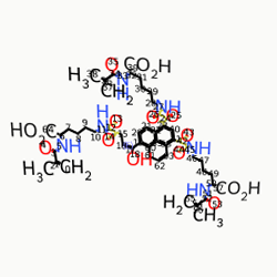 C=C(C)C(=O)NC(CCCCNS(=O)(=O)C/C=C(/O)c1ccc2c(S(=O)(=O)NCCCCC(NC(=O)C(=C)C)C(=O)O)cc(S(=O)(=O)NCCCCC(NC(=O)C(=C)C)C(=O)O)c3c2c1CC=C3)C(=O)O